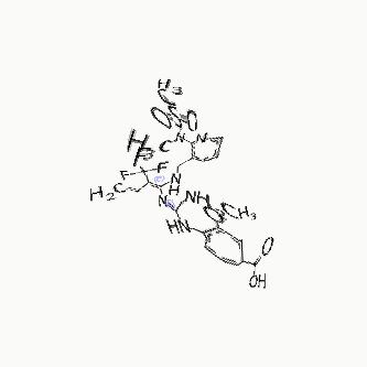 C=C/C(=C(\N=C(/N)Nc1ccc(C(=O)O)cc1OC)NCc1cccnc1N(C)S(C)(=O)=O)C(F)(F)F